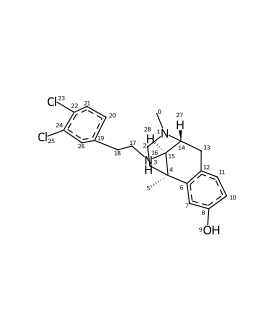 CN1CC[C@]2(C)c3cc(O)ccc3C[C@@H]1[C@@H]2NCCc1ccc(Cl)c(Cl)c1